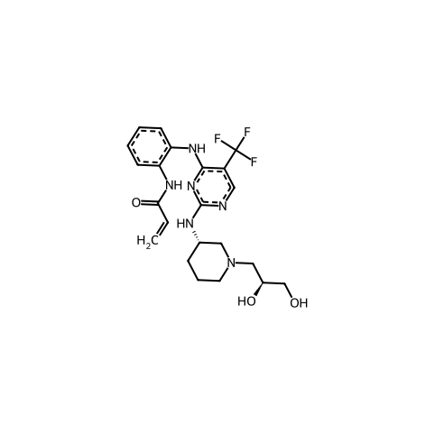 C=CC(=O)Nc1ccccc1Nc1nc(N[C@H]2CCCN(C[C@H](O)CO)C2)ncc1C(F)(F)F